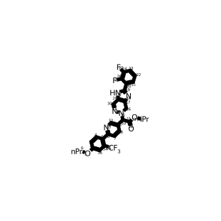 CCCOc1ccc(-c2ccc(C(C(=O)OC(C)C)N3Cc4nc(-c5cccc(F)c5F)[nH]c4C=N3)cn2)c(C(F)(F)F)c1